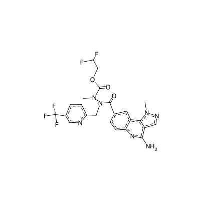 CN(C(=O)OCC(F)F)N(Cc1ccc(C(F)(F)F)cn1)C(=O)c1ccc2nc(N)c3cnn(C)c3c2c1